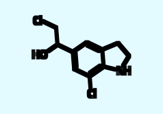 OC(CCl)c1cc(Cl)c2c(c1)CCN2